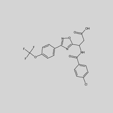 O=C(O)CC(NC(=O)c1ccc(Cl)cc1)c1nc(-c2ccc(OC(F)(F)F)cc2)no1